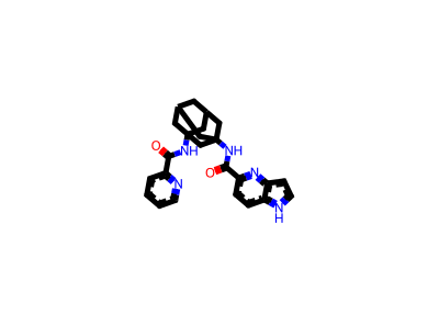 O=C(NC12CC3CC(C1)CC(NC(=O)c1ccc4[nH]ccc4n1)(C3)C2)c1ccccn1